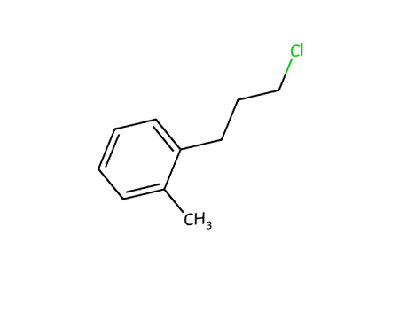 Cc1ccccc1CCCCl